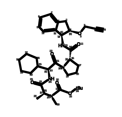 C#CCO[C@@H]1Cc2ccccc2[C@@H]1NC(=O)[C@@H]1CCCN1C(=O)[C@@H](NC(=O)[C@H](C)N(C)C(=O)OC(C)(C)C)C1CCCCC1